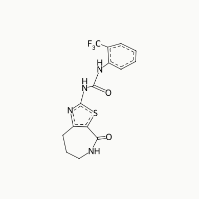 O=C(Nc1nc2c(s1)C(=O)NCCC2)Nc1ccccc1C(F)(F)F